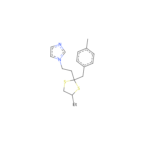 CCC1CSC(CCn2ccnc2)(Cc2ccc(C)cc2)S1